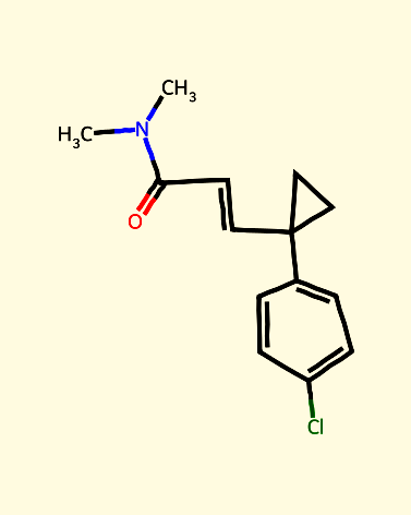 CN(C)C(=O)C=CC1(c2ccc(Cl)cc2)CC1